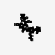 Cc1ncsc1-c1ccc(CNC(=O)C2CC(O)CN2C(=O)C(NC(=O)C2(F)CC2)C(C)(C)C)c(OCCCl)c1